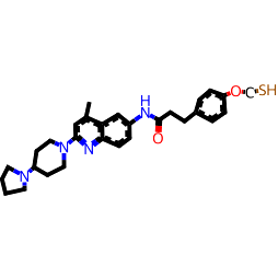 Cc1cc(N2CCC(N3CCCC3)CC2)nc2ccc(NC(=O)CCc3ccc(OCS)cc3)cc12